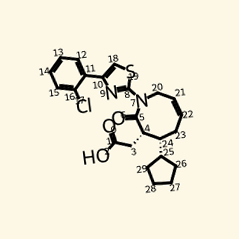 O=C(O)C[C@@H]1C(=O)N(c2nc(-c3ccccc3Cl)cs2)CC=CC[C@@H]1C1CCCC1